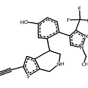 CCn1cc(-c2ccc(O)cc2C2CNCc3sc(C#N)cc32)c(C(F)(F)F)n1